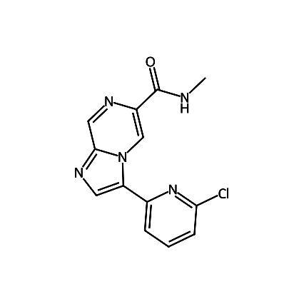 CNC(=O)c1cn2c(-c3cccc(Cl)n3)cnc2cn1